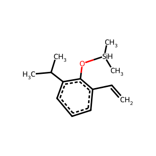 C=Cc1cccc(C(C)C)c1O[SiH](C)C